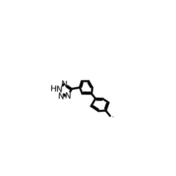 [CH2]c1ccc(-c2cccc(-c3nn[nH]n3)c2)cc1